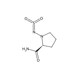 NC(=O)[C@@H]1CCCN1N=S(=O)=O